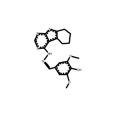 COc1cc(/C=N\Nc2ncnc3sc4c(c23)CCCC4)cc(OC)c1O